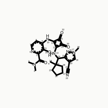 CN(C)C(=O)c1nccc(Nc2c(NC(c3nn(C)cc3C#N)C3(C)CCCC3)c(=O)c2=O)c1O